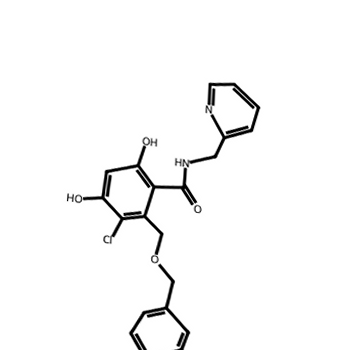 O=C(NCc1ccccn1)c1c(O)cc(O)c(Cl)c1COCc1ccccc1